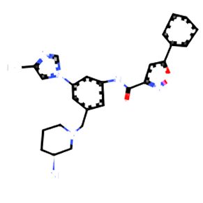 Cc1cn(-c2cc(CN3CCC[C@H](N)C3)cc(NC(=O)c3cc(-c4ccccc4)on3)c2)cn1